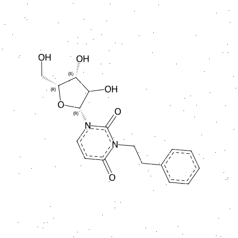 O=c1ccn([C@@H]2O[C@H](CO)[C@H](O)C2O)c(=O)n1CCc1ccccc1